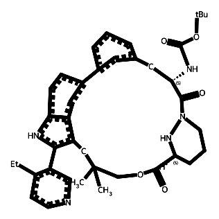 CCc1ccncc1-c1[nH]c2ccc3cc2c1CC(C)(C)COC(=O)[C@@H]1CCCN(N1)C(=O)[C@@H](NC(=O)OC(C)(C)C)Cc1cccc-3c1